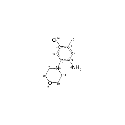 Cc1cc(N)c(N2CCOCC2)cc1Cl